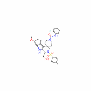 COc1ccc2c3c([nH]c2c1)[C@H](CO)N(S(=O)(=O)c1ccc(C)cc1)CC31CCN(C(=O)Nc2ccccc2F)CC1